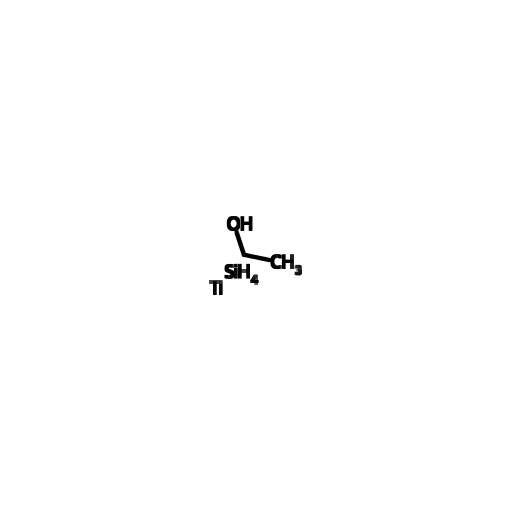 CCO.[SiH4].[Ti]